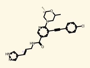 CC1CN(c2ncc(C(=O)NC/C=C/c3cn[nH]c3)cc2C#Cc2ccc(Cl)cc2)C[C@H](C)O1